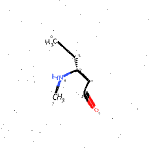 CC[C@H](CC=O)NC